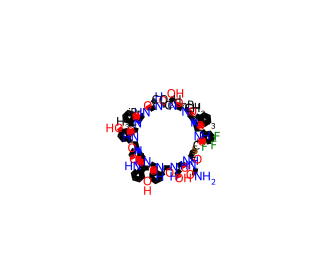 CCCC[C@H]1C(=O)N(CCO)CC(=O)N[C@@H](CC(=O)O)C(=O)N[C@@H](C(C)C)C(=O)N(C)[C@@H](Cc2ccccc2)C(=O)N[C@@H](Cc2ccc(O)cc2)C(=O)N2CCOC[C@@H]2C(=O)N[C@@H](Cc2c[nH]c3ccccc23)C(=O)N[C@@H](Cc2ccc(O)cc2)C(=O)N[C@@H](CCO)C(=O)N[C@H](C(=O)NCC(N)=O)CSCC(=O)N[C@@H](Cc2cc(F)c(F)c(F)c2)C(=O)N(C)[C@@H](Cc2ccccc2)C(=O)N1C